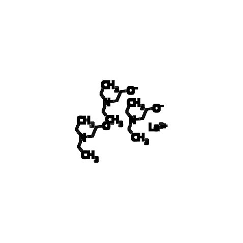 CCN(CC)CC[O-].CCN(CC)CC[O-].CCN(CC)CC[O-].[La+3]